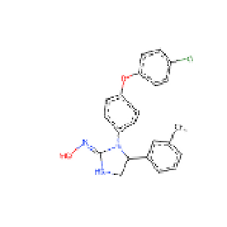 O/N=C1\NCC(c2cccc(C(F)(F)F)c2)N1c1ccc(Oc2ccc(Cl)cc2)cc1